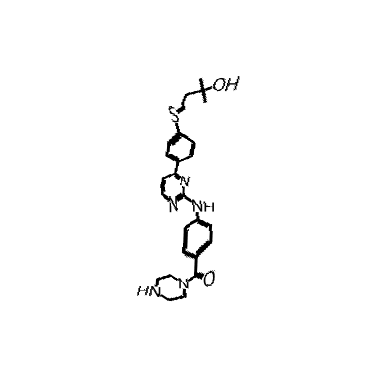 CC(C)(O)CCSc1ccc(-c2ccnc(Nc3ccc(C(=O)N4CCNCC4)cc3)n2)cc1